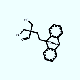 O=CC(CO)(CO)CCC12CCC(c3ccccc31)c1ccccc12